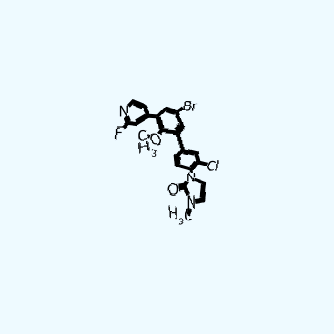 COc1c(-c2ccnc(F)c2)cc(Br)cc1-c1ccc(-n2ccn(C)c2=O)c(Cl)c1